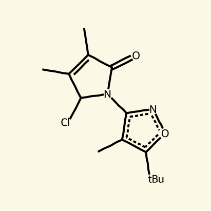 CC1=C(C)C(Cl)N(c2noc(C(C)(C)C)c2C)C1=O